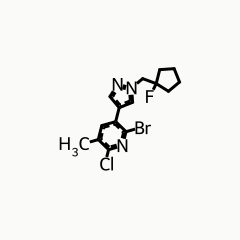 Cc1cc(-c2cnn(CC3(F)CCCC3)c2)c(Br)nc1Cl